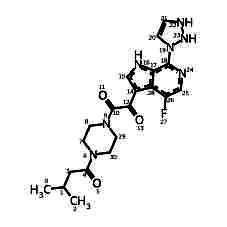 CC(C)CC(=O)N1CCN(C(=O)C(=O)c2c[nH]c3c(N4C=CNN4)ncc(F)c23)CC1